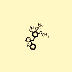 COc1cc(CC2(c3ccccc3)NCCS2)cc(OC)c1OC